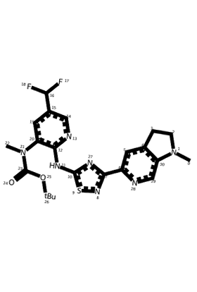 CN1CCc2cc(-c3nsc(Nc4ncc(C(F)F)cc4N(C)C(=O)OC(C)(C)C)n3)ncc21